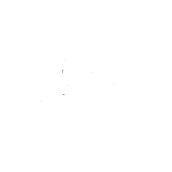 CCN1CC2(CCCC2)C[C@H]1C(=O)N(C)[C@@H](CC(C)C)C(=O)N1C[C@]2(C[C@H]1C#N)C(=O)Nc1ccccc12